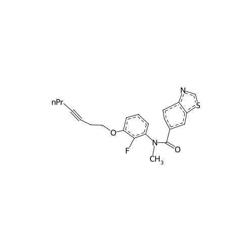 CCCC#CCCOc1cccc(N(C)C(=O)c2ccc3ncsc3c2)c1F